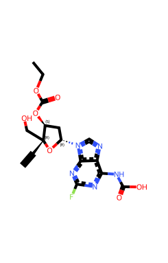 C#C[C@]1(CO)O[C@@H](n2cnc3c(NC(=O)O)nc(F)nc32)C[C@@H]1OC(=O)OCC